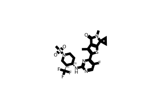 Cc1c(-c2nc(N[C@H]3CCN(S(C)(=O)=O)C[C@H]3C(F)(F)F)ncc2F)sc2c1C(=O)N(C)C21CC1